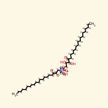 CCCCCCCCCCCCCCCCCC(=O)C(=O)C[N+](C)(C)P(=O)(O)OCC(O)C(O)C(=O)CCCCCCCCCCCCCCCCC